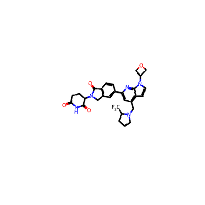 O=C1CCC(N2Cc3cc(-c4cc(CN5CCCC5C(F)(F)F)c5ccn(C6COC6)c5n4)ccc3C2=O)C(=O)N1